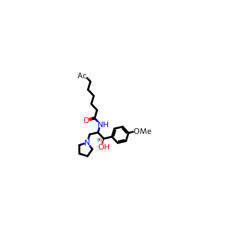 COc1ccc([C@@H](O)C(CN2CCCC2)NC(=O)CCCCCC(C)=O)cc1